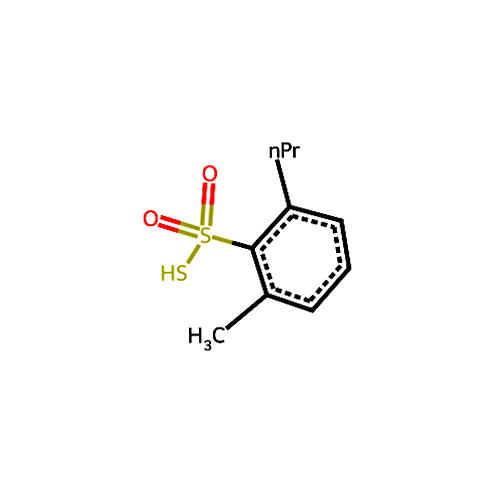 CCCc1cccc(C)c1S(=O)(=O)S